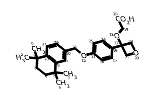 CC1(C)CCC(C)(C)c2cc(COc3ccc(C4(OCC(=O)O)COC4)cc3)ccc21